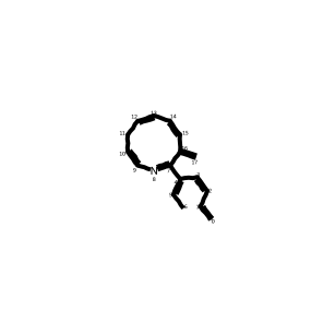 C=C\C=C/C(=C\C)C1=N/C=C\C/C=C\C=C/C\1=C